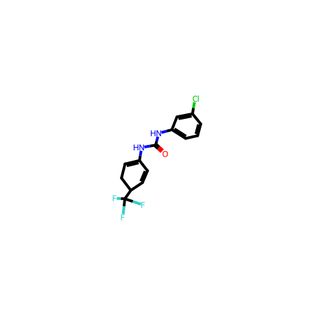 O=C(NC1=CCC(C(F)(F)F)C=C1)Nc1cccc(Cl)c1